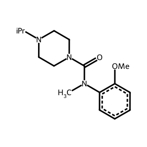 COc1ccccc1N(C)C(=O)N1CCN(C(C)C)CC1